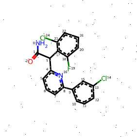 NC(=O)C(c1cccc(-c2cccc(Cl)c2)n1)c1c(F)cccc1Cl